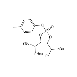 CCCCCCC(CCCC)COP(=O)(OCC(CC)CCCC)Oc1ccc(C)cc1